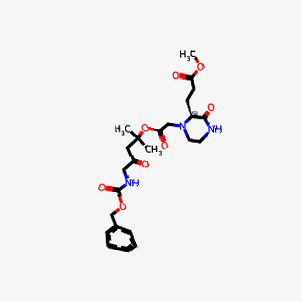 COC(=O)CC[C@H]1C(=O)NCCN1CC(=O)OC(C)(C)CC(=O)CNC(=O)OCc1ccccc1